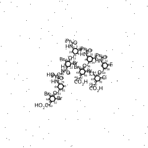 CC(C)C(=O)Nc1cc(F)cc(COc2c(Br)cc(C(=O)NCC(=O)O)cc2Br)c1.CC(C)C(=O)Nc1cc(F)cc(COc2c(Br)cc(CCC(=O)O)cc2Br)c1.CC(C)C(=O)Nc1cc(F)cc(COc2c(Cl)cc(CCC(=O)O)cc2Cl)c1.CC(C)C(=O)Nc1cccc(COc2c(Br)cc(CC(=O)O)cc2Br)c1